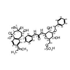 CCCC[C@]1(CC)CS(=O)(=O)c2ccc(N(C)C)cc2[C@@H](c2cccc(NC(=O)NC3OC(COS(=O)(=O)O)[C@@H](O)[C@H](OCc4ccccc4)[C@H]3O)c2)[C@H]1O